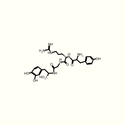 N=C(N)NCCC[C@@H](NC(=O)C(N)Cc1ccc(O)cc1)C(=O)NCC(=O)NC(Cc1ccc(O)c(O)c1)C(=O)O